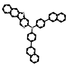 c1ccc2cc(-c3ccc(N(c4ccc(-c5ccc6ccccc6c5)cc4)c4cc5sc6cc7ccccc7cc6c5cn4)cc3)ccc2c1